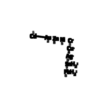 [Ag].[Cd][Au].[Cr].[Cu].[Ni].[PbH2].[SnH2].[Zn]